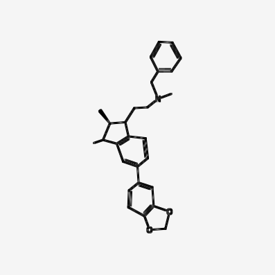 CC1c2cc(-c3ccc4c(c3)OCO4)ccc2C(CCN(C)Cc2ccccc2)[C@@H]1C